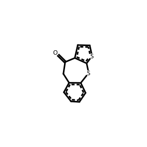 O=C1Cc2ccccc2Sc2sccc21